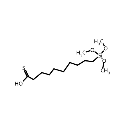 CO[Si](CCCCCCCCCC(O)=S)(OC)OC